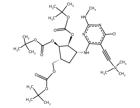 CNc1nc(Cl)c(C#C[Si](C)(C)C)c(N[C@@H]2C[C@H](COC(=O)OC(C)(C)C)[C@@H](OC(=O)OC(C)(C)C)[C@H]2OC(=O)OC(C)(C)C)n1